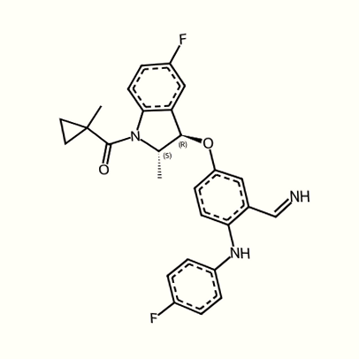 C[C@H]1[C@H](Oc2ccc(Nc3ccc(F)cc3)c(C=N)c2)c2cc(F)ccc2N1C(=O)C1(C)CC1